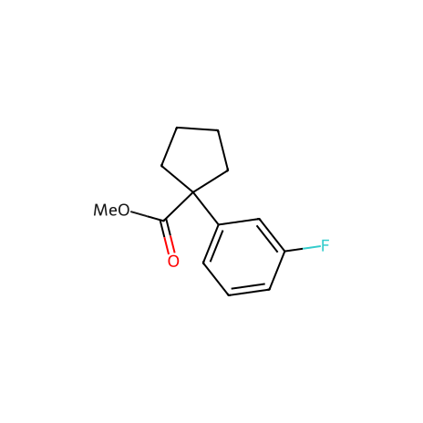 COC(=O)C1(c2cccc(F)c2)CCCC1